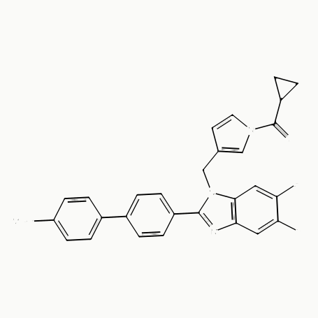 COc1ccc(-c2ccc(-c3nc4cc(Br)c(F)cc4n3Cc3ccn(C(=O)C4CC4)c3)cc2)cc1